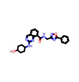 O=C(NCc1noc(-c2ccccc2)n1)c1cccc2cnc(NC3CCC(O)CC3)nc12